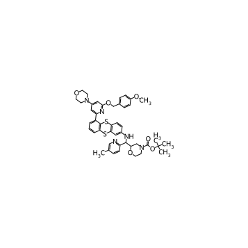 COc1ccc(COc2cc(N3CCOCC3)cc(-c3cccc4c3Sc3ccc(NC(c5ccc(C)cn5)C5CN(C(=O)OC(C)(C)C)CCO5)cc3S4)n2)cc1